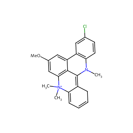 COc1cc2c3c(c1)[N+](C)(C)C1=CC=CCC1=C3N(C)c1ccc(Cl)cc1-2